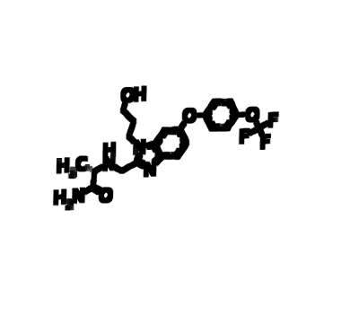 C[C@H](NCc1nc2ccc(Oc3ccc(OC(F)(F)F)cc3)cc2n1CCCO)C(N)=O